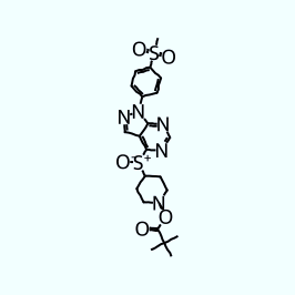 CC(C)(C)C(=O)ON1CCC([S+]([O-])c2ncnc3c2cnn3-c2ccc(S(C)(=O)=O)cc2)CC1